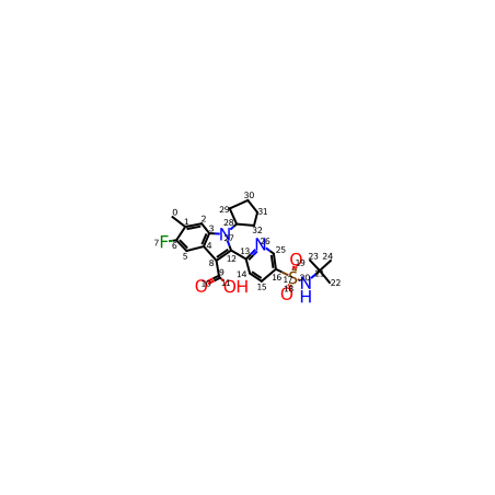 Cc1cc2c(cc1F)c(C(=O)O)c(-c1ccc(S(=O)(=O)NC(C)(C)C)cn1)n2C1CCCC1